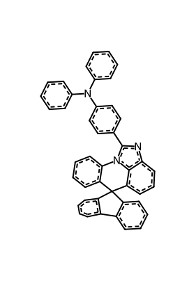 c1ccc(N(c2ccccc2)c2ccc(-c3nc4cccc5c4n3-c3ccccc3C53c4ccccc4-c4ccccc43)cc2)cc1